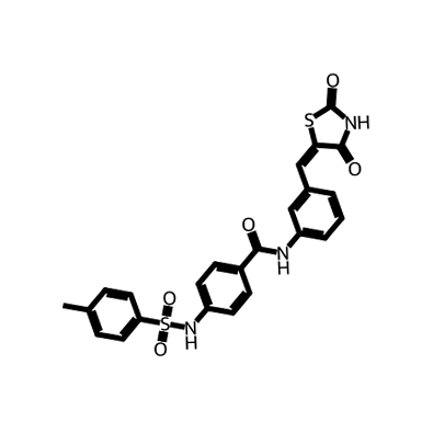 Cc1ccc(S(=O)(=O)Nc2ccc(C(=O)Nc3cccc(C=C4SC(=O)NC4=O)c3)cc2)cc1